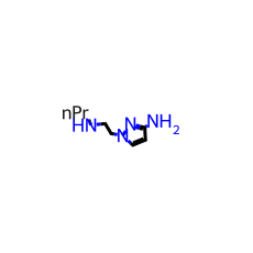 CCCNCCn1ccc(N)n1